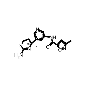 Cc1cc(C(=O)Nc2cncc([C@]3(C)CCSC(N)=N3)c2)on1